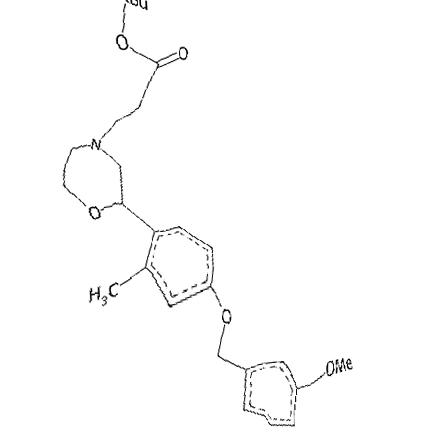 COc1cccc(COc2ccc(C3CN(CCC(=O)OC(C)(C)C)CCO3)c(C)c2)c1